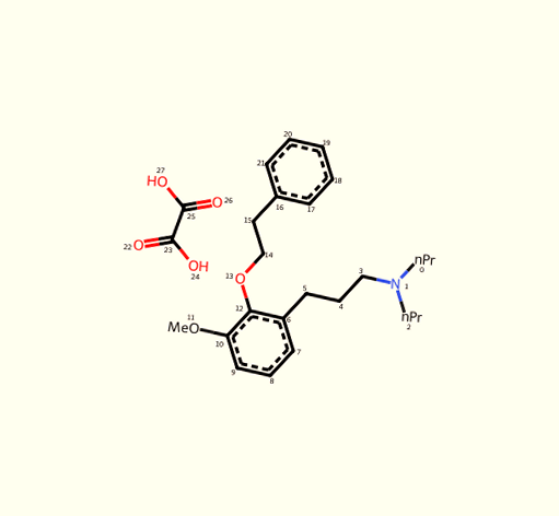 CCCN(CCC)CCCc1cccc(OC)c1OCCc1ccccc1.O=C(O)C(=O)O